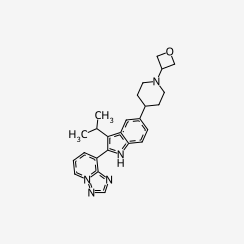 CC(C)c1c(-c2cccn3ncnc23)[nH]c2ccc(C3CCN(C4COC4)CC3)cc12